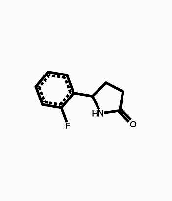 O=C1CCC(c2ccccc2F)N1